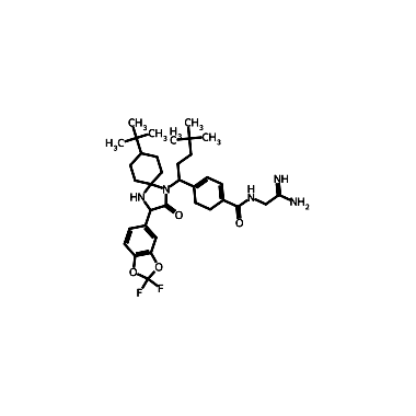 CC(C)(C)CCC(C1=CC=C(C(=O)NCC(=N)N)CC1)N1C(=O)C(c2ccc3c(c2)OC(F)(F)O3)NC12CCC(C(C)(C)C)CC2